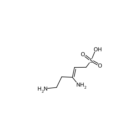 NCCC(N)=CCS(=O)(=O)O